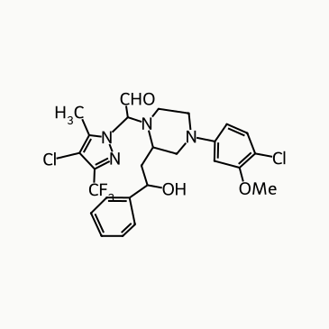 COc1cc(N2CCN(C(C=O)n3nc(C(F)(F)F)c(Cl)c3C)C(CC(O)c3ccccc3)C2)ccc1Cl